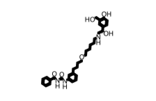 O=C(NC(=O)c1ccccc1)Nc1cccc(CCCCOCCCCCCNC[C@@H](O)c2ccc(O)c(CO)c2)c1